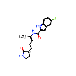 CCOC(=O)C(=CCC[C@H]1CCNC1=O)NC(=O)c1cc2cc(F)ccc2[nH]1